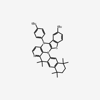 CC(C)(C)c1ccc(N2c3ccnc4c3B(c3cc5c(cc3C4(C)C)C(C)(C)CCC5(C)C)c3sc4ccc(C(C)(C)C)cc4c32)cc1